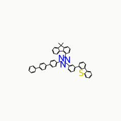 CC1(C)c2ccccc2-c2c(-c3nc(-c4ccc(-c5ccc(-c6ccccc6)cc5)cc4)nc(-c4cccc(-c5cccc6c5sc5ccccc56)c4)n3)cccc21